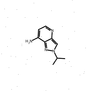 CC(C)n1cc2nccc(N)c2n1